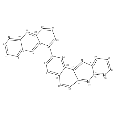 c1ccc2cc3c(-c4ccc5ccc6nc7ncccc7cc6c5c4)cccc3cc2c1